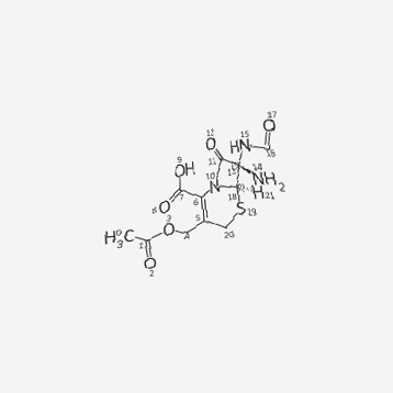 CC(=O)OCC1=C(C(=O)O)N2C(=O)[C@](N)(NC=O)[C@H]2SC1